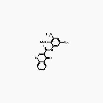 COc1c(N)cc(C(C)(C)C)cc1NC(=O)c1c[nH]c2ccccc2c1=O